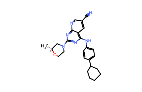 C[C@@H]1CN(c2nc(Nc3ccc(C4CCCCC4)cc3)c3cc(C#N)cnc3n2)CCO1